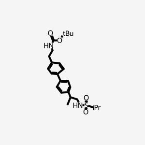 CC(CNS(=O)(=O)C(C)C)c1ccc(-c2ccc(CCNC(=O)OC(C)(C)C)cc2)cc1